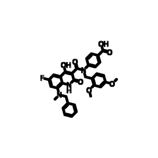 COc1ccc(CN(C(=O)c2c(O)c3cc(F)cc(N(C)Cc4ccccc4)c3[nH]c2=O)c2ccc(C(=O)O)cc2)c(OC)c1